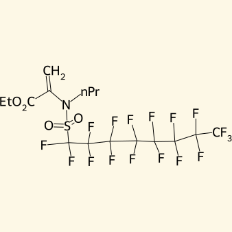 C=C(C(=O)OCC)N(CCC)S(=O)(=O)C(F)(F)C(F)(F)C(F)(F)C(F)(F)C(F)(F)C(F)(F)C(F)(F)C(F)(F)F